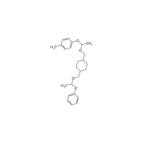 Cc1ccc(OC(C)OCC2CCC(COC(C)Oc3ccccc3)CC2)cc1